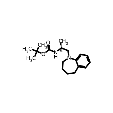 C[C@@H](CN1CCCCc2ccccc21)NC(=O)OC(C)(C)C